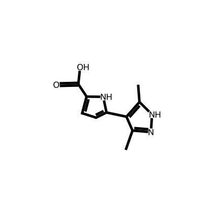 Cc1n[nH]c(C)c1-c1ccc(C(=O)O)[nH]1